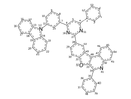 c1ccc(-c2cc(-c3cccc(-n4c5ccccc5c5ccccc54)c3)nc(-c3ccc4oc5c(-c6ccccc6)nc6ccccc6c5c4c3)n2)cc1